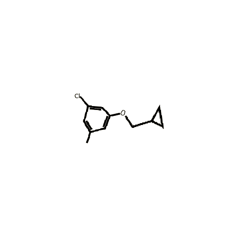 Cc1cc(Cl)cc(OCC2CC2)c1